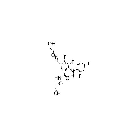 C#CCONC(=O)c1cc(C=NOCCO)c(F)c(F)c1Nc1ccc(I)cc1F